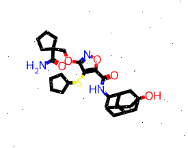 NC(=O)C1(COc2noc(C(=O)NC3C4CC5CC3CC(O)(C5)C4)c2SC2CCCC2)CCCC1